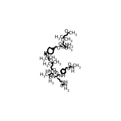 CNC(=O)OCc1ccc(NC(=O)[C@H](CCCNC(N)=O)NC(=O)C(NC(=O)CCC(C)(C)OCC(C)(C)n2nnc3c2CCC2C(CC3)C2COC(=O)NC(C)(N)CCOC(C)(C)CCC(C)=O)C(C)C)cc1